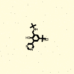 CC(C)(C)NCc1cc(C(C)(C)C)cc(-c2cncnc2)c1O.Cl